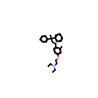 CCN(CC)CCOc1ccc(C(=O)CC(C)(c2ccccc2)c2ccccc2)c(C)c1